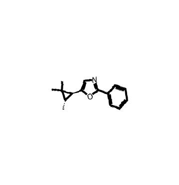 C[C@H]1[C@H](c2cnc(-c3ccccc3)o2)C1(C)C